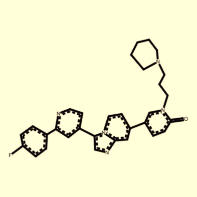 O=c1ccc(-c2ccn3c(-c4ccnc(-c5ccc(F)cc5)c4)cnc3c2)cn1CCCN1CCCCC1